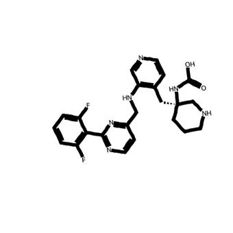 O=C(O)N[C@]1(Cc2ccncc2NCc2ccnc(-c3c(F)cccc3F)n2)CCCNC1